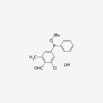 Cc1cc(P(OC(C)(C)C)c2ccccc2)cc(Cl)c1C=O.[LiH]